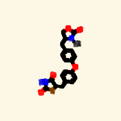 CCN1C(=O)OCC1Cc1ccc(Oc2ccc(CC3SC(=O)NC3=O)cc2)cc1